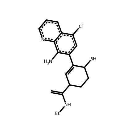 C=C(NCC)C1C=C(c2cc(Cl)c3cccnc3c2N)C(S)CC1